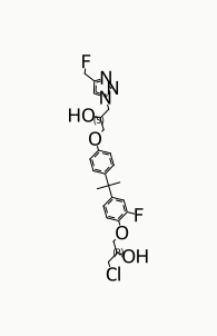 CC(C)(c1ccc(OC[C@@H](O)Cn2cc(CF)nn2)cc1)c1ccc(OC[C@@H](O)CCl)c(F)c1